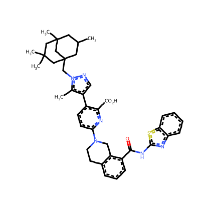 Cc1c(-c2ccc(N3CCc4cccc(C(=O)Nc5nc6ccccc6s5)c4C3)nc2C(=O)O)cnn1CC12CC(C)CC(C)(CC(C)(C)C1)C2